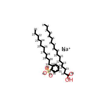 CCCCCCCCCCCCCCCCCC(=O)O.CCCCCCCCCCCCc1ccccc1S(=O)(=O)[O-].[Na+]